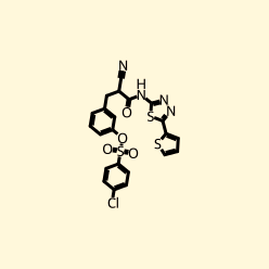 N#CC(Cc1cccc(OS(=O)(=O)c2ccc(Cl)cc2)c1)C(=O)Nc1nnc(-c2cccs2)s1